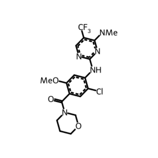 CNc1nc(Nc2cc(OC)c(C(=O)N3CCCOC3)cc2Cl)ncc1C(F)(F)F